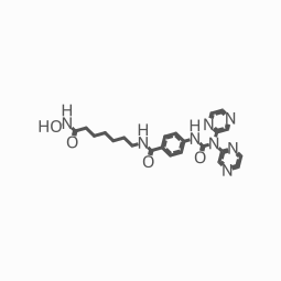 O=C(CCCCCCNC(=O)c1ccc(NC(=O)N(c2cnccn2)c2cnccn2)cc1)NO